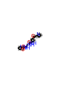 O=C(NCCNNS(=O)(=O)c1ccccc1)Nc1ccc(C(=O)/C=C/c2ccccn2)cc1